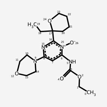 CCOC(=O)Nc1cc(N2CCOCC2)nc(C2(CC)CCCCO2)[n+]1[O-]